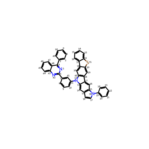 c1ccc(-c2nc(-c3cccc(-n4c5cc6ccn(-c7ccccc7)c6cc5c5cc6sc7ccccc7c6cc54)c3)nc3ccccc23)cc1